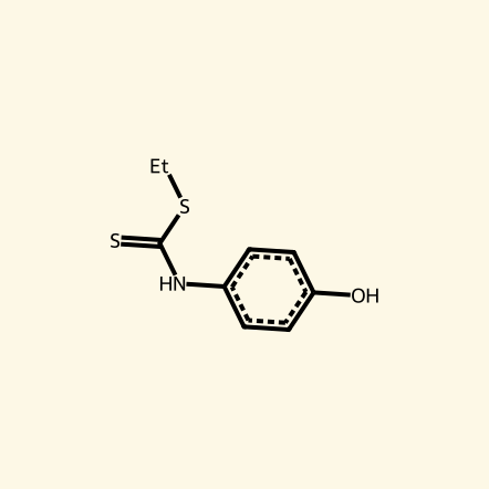 CCSC(=S)Nc1ccc(O)cc1